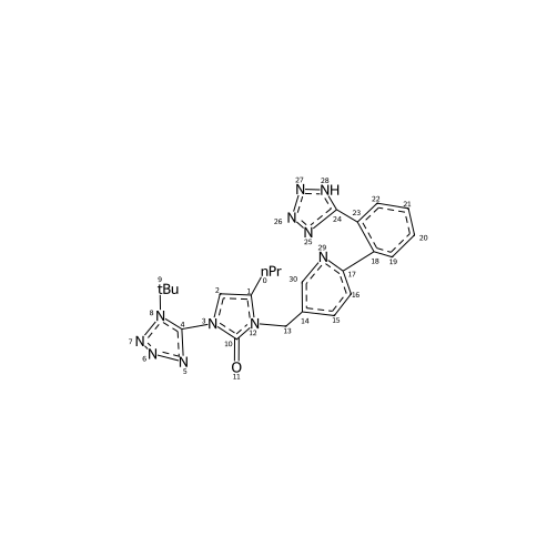 CCCc1cn(-c2nnnn2C(C)(C)C)c(=O)n1Cc1ccc(-c2ccccc2-c2nnn[nH]2)nc1